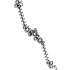 C=CC(=O)OCCCCCCCCCCCCOc1ccc(C(=O)Oc2cc(F)c(OC(=O)c3ccc(OCCCCCCCCCCCCOC(=O)C=C)cc3)c(F)c2)cc1